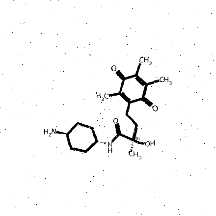 CC1=C(C)C(=O)C(CC[C@@](C)(O)C(=O)N[C@H]2CC[C@H](N)CC2)=C(C)C1=O